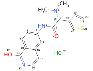 CN(C)[C@@H](C(=O)Nc1ccc2c(O)nccc2c1)c1ccsc1.Cl